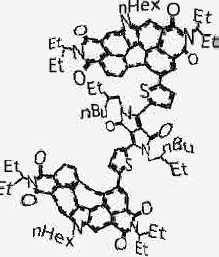 CCCCCCn1c2cc3c(=O)n(C(CC)CC)c(=O)c4ccc5c6c(-c7ccc(C8=C9C(=O)N(CC(CC)CCCC)C(c%10ccc(-c%11cc%12c(=O)n(C(CC)CC)c(=O)c%13cc%14c%15c(c%11c%11ccc%16c(=O)n(C(CC)CC)c(=O)c%17cc(c%15c%11c%16%17)n%14CCCCCC)c%12%13)s%10)=C9C(=O)N8CC(CC)CCCC)s7)cc7c(=O)n(C(CC)CC)c(=O)c8cc1c(c6c78)c2c5c43